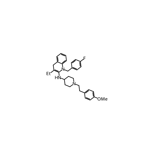 CCC1=C(NC2CCN(CCc3ccc(OC)cc3)CC2)N(Cc2ccc(F)cc2)c2ccccc2C1